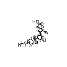 N#CCCN1CCN(S(=O)(=O)c2cc(Cl)cc(-c3cn(CC(=O)O)cc3C#N)c2)CC1